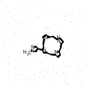 Cn1cc(-c2cc3cc4nc(cc5ccc(cc6nc(cc2[nH]3)C=C6)[nH]5)C=C4)cn1